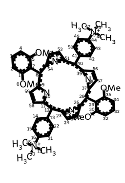 COc1cccc(OC)c1-c1c2nc(c(-c3ccc([N+](C)(C)C)cc3)c3ccc([nH]3)c(-c3c(OC)cccc3OC)c3nc(c(-c4ccc([N+](C)(C)C)cc4)c4ccc1[nH]4)C=C3)C=C2